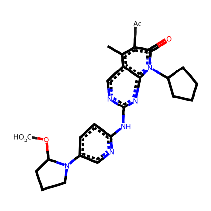 CC(=O)c1c(C)c2cnc(Nc3ccc(N4CCCC4OC(=O)O)cn3)nc2n(C2CCCC2)c1=O